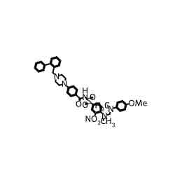 COc1ccc(N(C)CN(C)c2ccc(S(=O)(=O)NC(=O)c3ccc(N4CCN(Cc5ccccc5-c5ccccc5)CC4)cc3)cc2[N+](=O)[O-])cc1